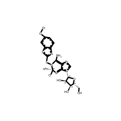 CCC[C@@]1(Cl)N=c2c(ncn2[C@@H]2O[C@H](CO)[C@@H](O)[C@H]2O)=C(N)N1Sc1nc2ccc(OCC)cc2s1